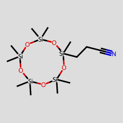 C[Si]1(C)O[Si](C)(C)O[Si](C)(C)O[Si](C)(CCC#N)O[Si](C)(C)O1